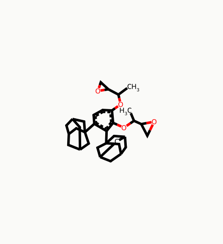 CC(Oc1ccc(C23CC4CC(CC(C4)C2)C3)c(C23CC4CC(CC(C4)C2)C3)c1OC(C)C1CO1)C1CO1